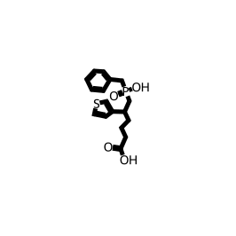 O=C(O)CCCC(CP(=O)(O)Cc1ccccc1)c1ccsc1